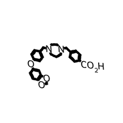 O=C(O)c1ccc(CN2CCCN(Cc3ccc(Oc4ccc5c(c4)OCO5)cc3)CC2)cc1